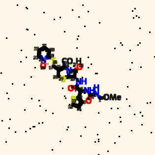 COCNC(=O)NC(C(=O)N[C@H]1C(=O)N2C(C(=O)O)=C(CSc3cccc[n+]3[O-])CSC12)c1cccs1